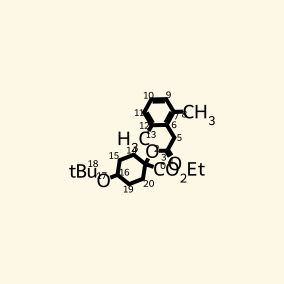 CCOC(=O)C1(OC(=O)Cc2c(C)cccc2C)CCC(OC(C)(C)C)CC1